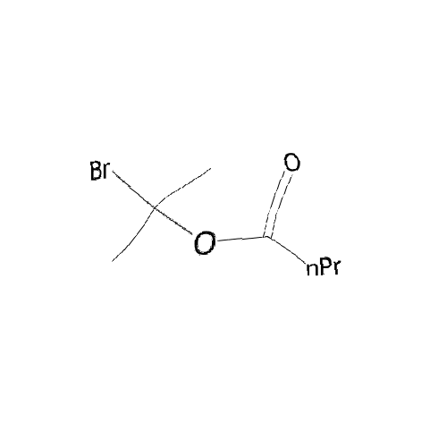 CCCC(=O)OC(C)(C)Br